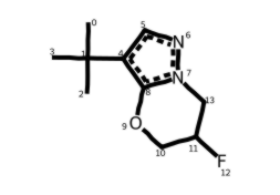 CC(C)(C)c1cnn2c1OCC(F)C2